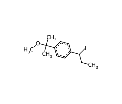 CCC(I)c1ccc(C(C)(C)OC)cc1